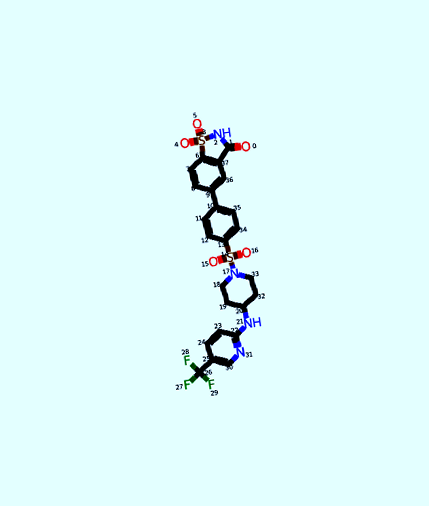 O=C1NS(=O)(=O)c2ccc(-c3ccc(S(=O)(=O)N4CCC(Nc5ccc(C(F)(F)F)cn5)CC4)cc3)cc21